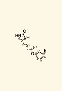 O=c1[nH]cc(CSCC(F)Oc2cccc(F)c2)[nH]1